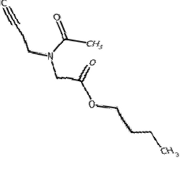 C#CCN(CC(=O)OCCCC)C(C)=O